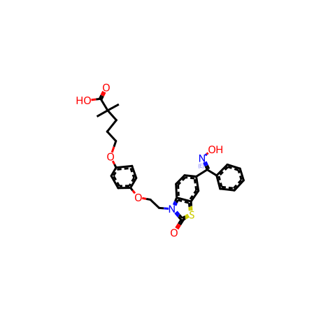 CC(C)(CCCOc1ccc(OCCn2c(=O)sc3cc(/C(=N/O)c4ccccc4)ccc32)cc1)C(=O)O